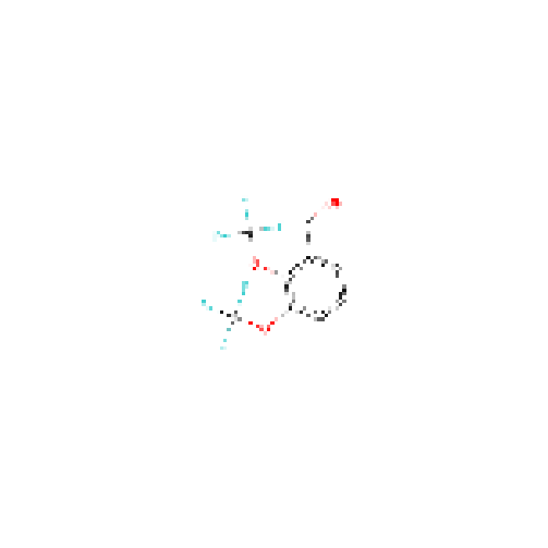 O[CH]c1cccc(OC(F)(F)F)c1OC(F)(F)F